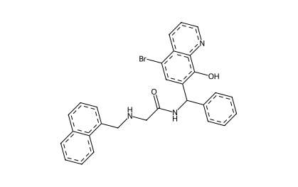 O=C(CNCc1cccc2ccccc12)NC(c1ccccc1)c1cc(Br)c2cccnc2c1O